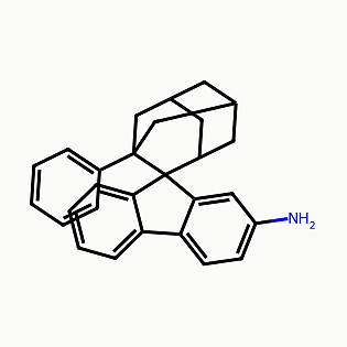 Nc1ccc2c(c1)C1(c3ccccc3-2)C2CC3CC(C2)CC1(c1ccccc1)C3